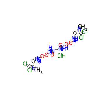 CN1Cc2c(Cl)cc(Cl)cc2[C@H](c2cccc(-c3nnn(CCOCCOCCNC(=O)NCCCCNC(=O)NCCOCCOCCn4nnc(-c5cccc([C@@H]6CN(C)Cc7c(Cl)cc(Cl)cc76)c5)n4)n3)c2)C1.Cl